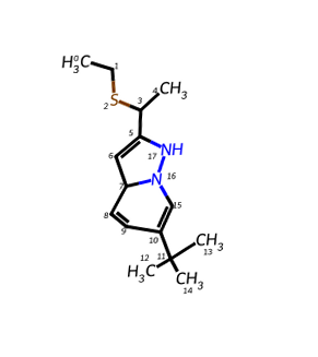 CCSC(C)C1=CC2C=CC(C(C)(C)C)=CN2N1